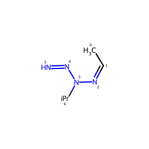 C/C=N\N(N=N)C(C)C